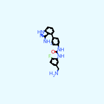 NCc1ccc(F)c(NC(=O)Nc2ccc(-c3cccc4[nH]nc(N)c34)cc2)c1